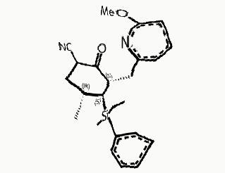 COc1cccc(C[C@H]2C(=O)C(C#N)C[C@@H](C)[C@@H]2[Si](C)(C)c2ccccc2)n1